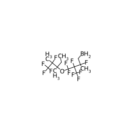 BCC(C)(F)C(F)(C(F)(F)F)C(F)(F)OC(C)(CC)C(C)(F)C(F)(F)F